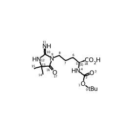 CC(C)(C)OC(=O)N[C@@H](CCCN1C(=N)NC(C)(C)C1=O)C(=O)O